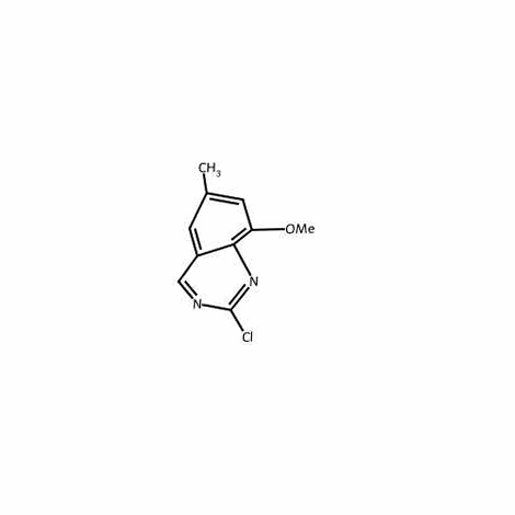 COc1cc(C)cc2cnc(Cl)nc12